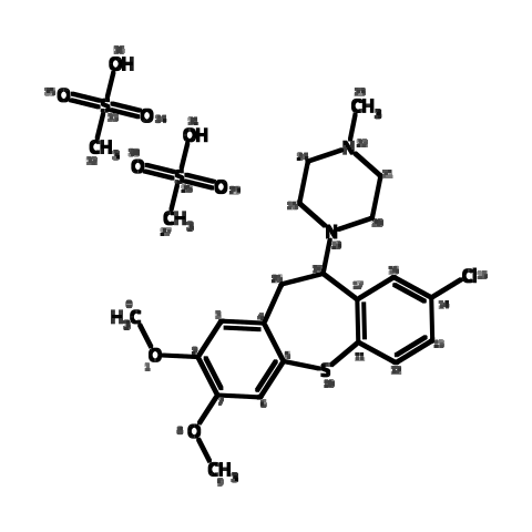 COc1cc2c(cc1OC)Sc1ccc(Cl)cc1C(N1CCN(C)CC1)C2.CS(=O)(=O)O.CS(=O)(=O)O